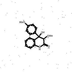 COc1ccc(C2(O)c3ccccc3NC(=O)C2OC)cc1